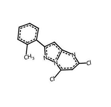 Cc1ccccc1-c1cc2nc(Cl)cc(Cl)n2n1